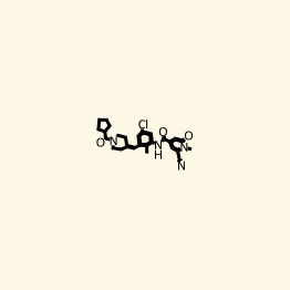 Cc1c(C=C2CCN(C(=O)C3CCCC3)CC2)cc(Cl)cc1NC(=O)c1cc(C#N)n(C)c(=O)c1